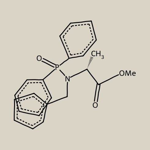 COC(=O)[C@@H](C)N(Cc1ccccc1)P(=O)(c1ccccc1)c1ccccc1